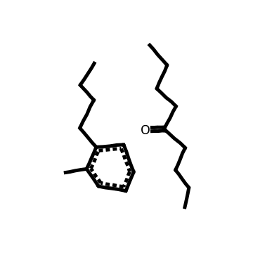 CCCCC(=O)CCCC.CCCCc1ccccc1C